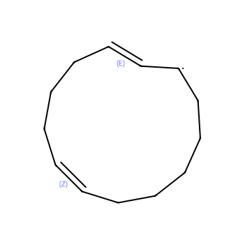 [CH]1/C=C/CCC/C=C\CCCCC1